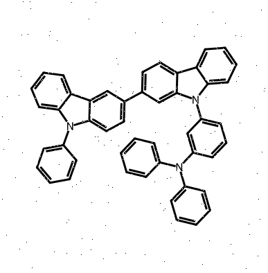 c1ccc(N(c2ccccc2)c2cccc(-n3c4ccccc4c4ccc(-c5ccc6c(c5)c5ccccc5n6-c5ccccc5)cc43)c2)cc1